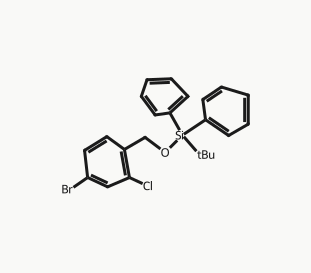 CC(C)(C)[Si](OCc1ccc(Br)cc1Cl)(c1ccccc1)c1ccccc1